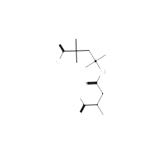 CC(CC(=O)NC(C)(C)CC(C)(C)C(N)=O)C(=O)O